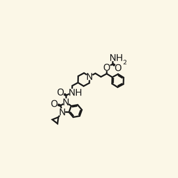 NC(=O)OC(CCN1CCC(CNC(=O)n2c(=O)n(C3CC3)c3ccccc32)CC1)c1ccccc1